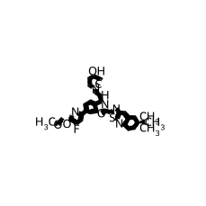 COCOc1cnc(-c2ccc(C(CCN3CCC(O)CC3)NC(=O)c3nc4cc5c(nc4s3)CC[C@H](C(C)(C)C)C5)cc2)cc1F